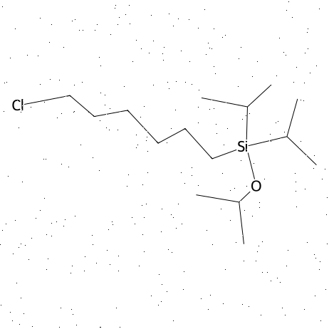 CC(C)O[Si](CCCCCCCl)(C(C)C)C(C)C